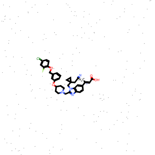 C/C(=C\C(=O)O)c1ccc2nc(CN3CCC(Oc4cccc(COc5ccc(Cl)cc5F)c4)CC3)n(CC3(CC#N)CC3)c2c1